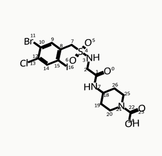 O=C(CNS(=O)(=O)Cc1cc(Br)c(Cl)cc1I)NC1CCN(C(=O)O)CC1